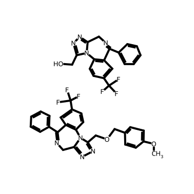 COc1ccc(COCc2nnc3n2-c2ccc(C(F)(F)F)cc2C(c2ccccc2)=NC3)cc1.OCc1nnc2n1-c1ccc(C(F)(F)F)cc1C(c1ccccc1)=NC2